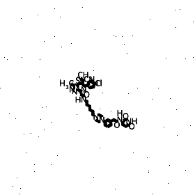 Cc1sc2c(c1C)C(c1ccc(Cl)cc1)=N[C@@H](CC(=O)NCCCCCCN1CCN(c3cccc(CC(=O)NC4CCC(=O)NC4=O)c3)CC1)c1nnc(C)n1-2